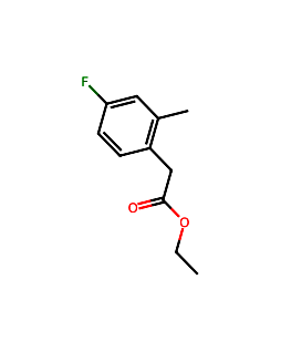 CCOC(=O)Cc1ccc(F)cc1C